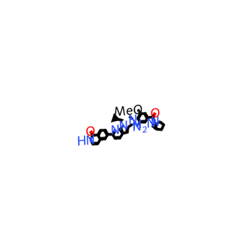 COc1cc(C(=O)N2CC3CCC2C3N)cc2nc(-c3cc4ccc(-c5ccc6c(=O)[nH]ccc6c5)nc4n3CC3CC3)n(C)c12